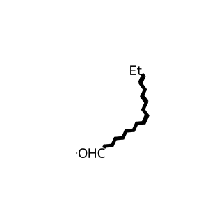 CCC=CCC=CC/C=C\CCCCCCC[C]=O